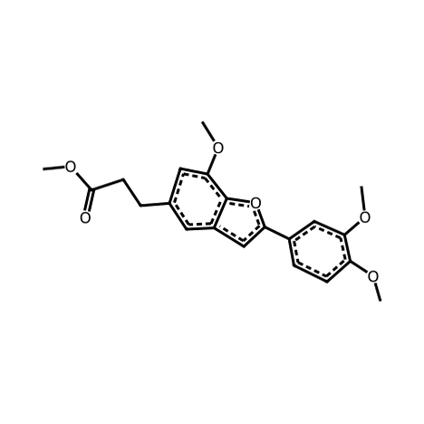 COC(=O)CCc1cc(OC)c2oc(-c3ccc(OC)c(OC)c3)cc2c1